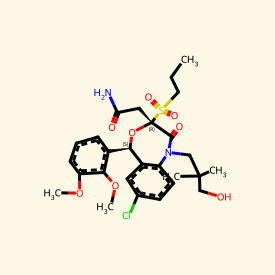 CCCS(=O)(=O)[C@@]1(CC(N)=O)O[C@H](c2cccc(OC)c2OC)c2cc(Cl)ccc2N(CC(C)(C)CO)C1=O